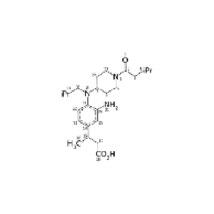 CC(C)CC(=O)N1CCC(N(CC(C)C)c2ccc(C(C)CC(=O)O)cc2N)CC1